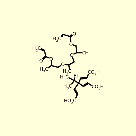 C=CC(=O)OCC(C)OCC(C)OCC(C)OC(=O)C=C.CCC(C)(C)C(C=CC(=O)O)(C=CC(=O)O)C=CC(=O)O